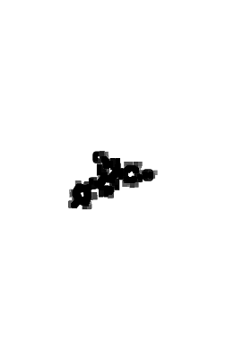 Cc1ccc(Sc2ncnc3c(N4CC[S+]([O-])CC4)nc(Cl)nc23)cc1